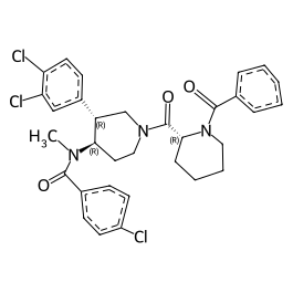 CN(C(=O)c1ccc(Cl)cc1)[C@@H]1CCN(C(=O)[C@H]2CCCCN2C(=O)c2ccccc2)C[C@H]1c1ccc(Cl)c(Cl)c1